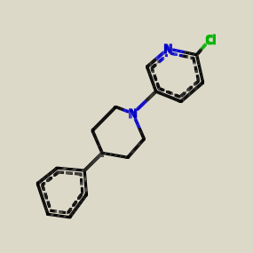 Clc1ccc(N2CC[C](c3ccccc3)CC2)cn1